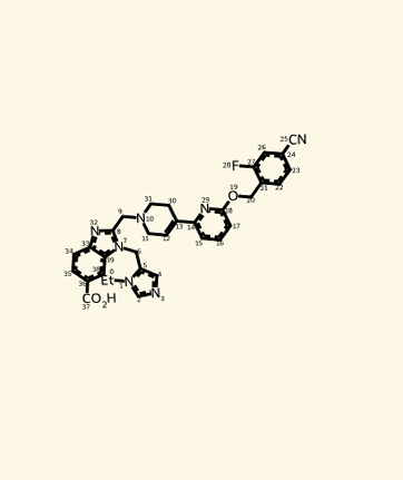 CCn1cncc1Cn1c(CN2CC=C(c3cccc(OCc4ccc(C#N)cc4F)n3)CC2)nc2ccc(C(=O)O)cc21